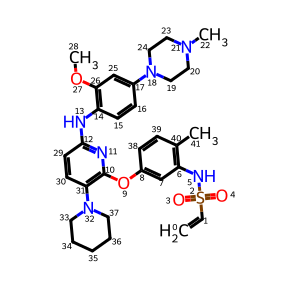 C=CS(=O)(=O)Nc1cc(Oc2nc(Nc3ccc(N4CCN(C)CC4)cc3OC)ccc2N2CCCCC2)ccc1C